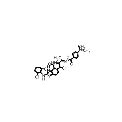 CC(=NNC(=O)c1ccc(N(C)C)cc1)c1[nH]c(=O)c2c(ccc3nc(Nc4c(Cl)cccc4Cl)[nH]c32)c1C